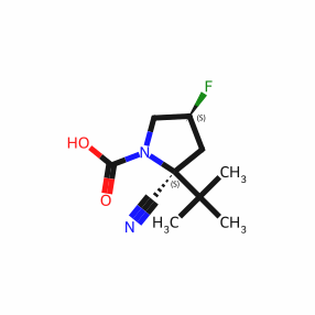 CC(C)(C)[C@]1(C#N)C[C@H](F)CN1C(=O)O